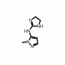 Cn1nccc1NC1=NCCN1